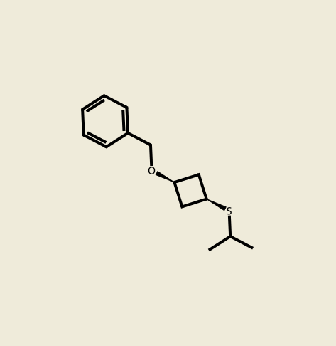 CC(C)S[C@H]1C[C@@H](OCc2ccccc2)C1